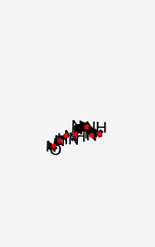 CC(C)c1cnnc(Nc2ccc3ncc(/C(C=N)=C/NCCCN4CC(C(=O)N(C)C)C4)cc3n2)c1